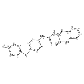 O=C(Nc1ccc(Oc2ccc(Cl)cc2)cc1)N[C@@H](Cc1ccccc1)C(=O)O